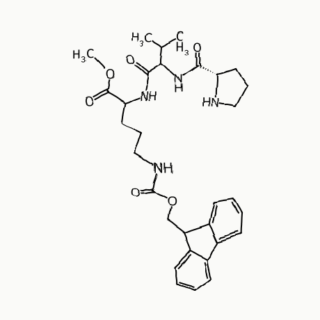 COC(=O)C(CCCNC(=O)OCC1c2ccccc2-c2ccccc21)NC(=O)C(NC(=O)[C@@H]1CCCN1)C(C)C